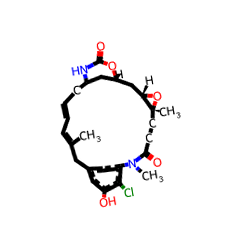 C/C1=C\C=C\CC2C[C@@H](C[C@@H]3O[C@@]3(C)CCC(=O)N(C)c3cc(cc(O)c3Cl)C1)OC(=O)N2